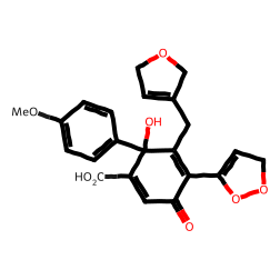 COc1ccc(C2(O)C(C(=O)O)=CC(=O)C(C3=CCOO3)=C2CC2=CCOC2)cc1